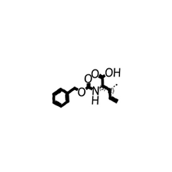 C=C[C@@H](C)[C@H](NC(=O)OCc1ccccc1)C(=O)O